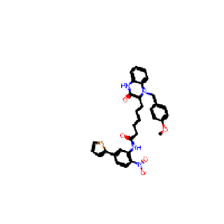 COc1ccc(CN2c3ccccc3NC(=O)C2CCCCCC(=O)Nc2cc(-c3cccs3)ccc2[N+](=O)[O-])cc1